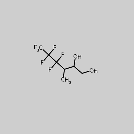 CC(C(O)CO)C(F)(F)C(F)(F)C(F)(F)F